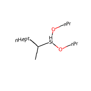 CCCCCCCC(C)[SiH](OCCC)OCCC